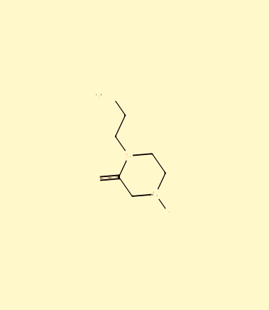 COCCN1CCN(C(C)=O)CC1=O